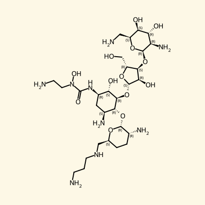 NCCCNC[C@@H]1CC[C@@H](N)[C@@H](O[C@H]2[C@H](O[C@@H]3O[C@H](CO)[C@@H](O[C@H]4O[C@@H](CN)[C@@H](O)[C@H](O)[C@H]4N)[C@H]3O)[C@@H](O)[C@H](NC(=O)N(O)CCN)C[C@@H]2N)O1